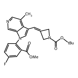 COC(=O)c1cc(F)ccc1-n1cc(C=C2CN(C(=O)OC(C)(C)C)C2)c2c(C)cncc21